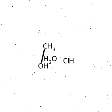 CO.Cl.O